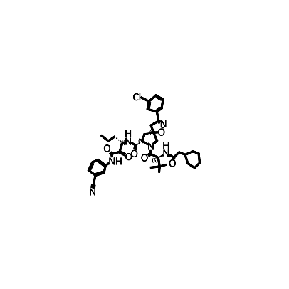 CCC[C@H](NC(=O)[C@@H]1C[C@]2(CC(c3cccc(Cl)c3)=NO2)CN1C(=O)[C@@H](NC(=O)CC1CCCCC1)C(C)(C)C)C(=O)C(=O)Nc1cccc(C#N)c1